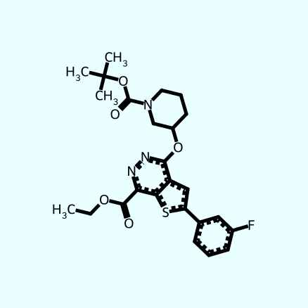 CCOC(=O)c1nnc(OC2CCCN(C(=O)OC(C)(C)C)C2)c2cc(-c3cccc(F)c3)sc12